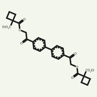 CCOC(=O)C1(C(=O)OCC(=O)c2ccc(-c3ccc(C(=O)COC(=O)C4(C(=O)OCC)CCC4)cc3)cc2)CCC1